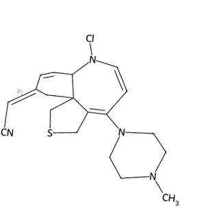 CN1CCN(C2=C3CSCC34C/C(=C\C#N)C=CC4N(Cl)C=C2)CC1